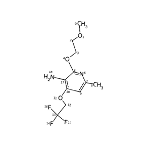 COCCOc1nc(C)cc(OCC(F)(F)F)c1N